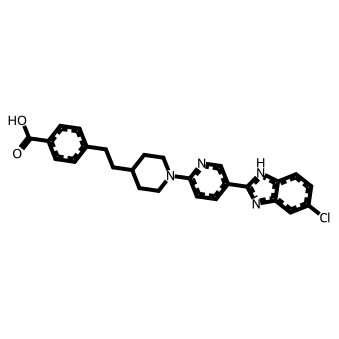 O=C(O)c1ccc(CCC2CCN(c3ccc(-c4nc5cc(Cl)ccc5[nH]4)cn3)CC2)cc1